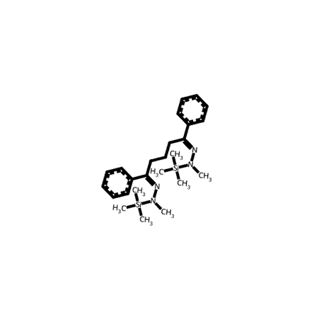 CN(N=C(CCCC(=NN(C)[Si](C)(C)C)c1ccccc1)c1ccccc1)[Si](C)(C)C